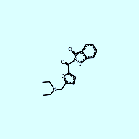 CCN(CC)Cc1ccc(C(=O)n2sc3ccccc3c2=O)o1